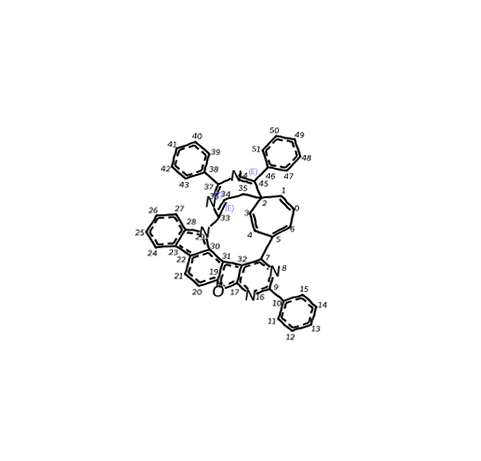 C1=CC23C=CC(=C1)c1nc(-c4ccccc4)nc4oc5ccc6c7ccccc7n(c6c5c14)C(=C/C2)/N=C(c1ccccc1)\N=C/3c1ccccc1